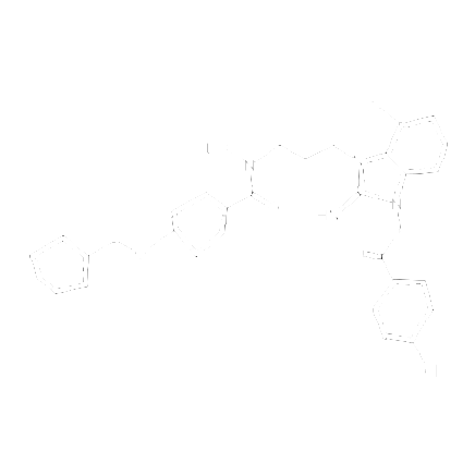 CN(CCCn1c(=N)n(CC(=O)c2ccc(Cl)cc2)c2cccc(Cl)c21)C(=O)c1ccc(OCc2ccccc2)cc1